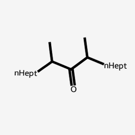 CCCCCCCC(C)C(=O)C(C)CCCCCCC